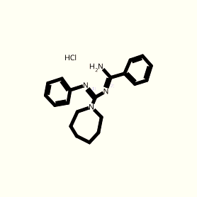 Cl.N/C(=N\C(=N\c1ccccc1)N1CCCCCC1)c1ccccc1